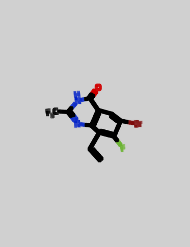 C=Cc1c(F)c(Br)cc2c(=O)[nH]c(C(F)(F)F)nc12